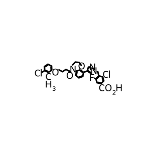 Cc1c(Cl)cccc1OCCCC(=O)N1CCCOc2c(-c3cnn(Cc4c(F)cc(C(=O)O)cc4Cl)c3)cccc21